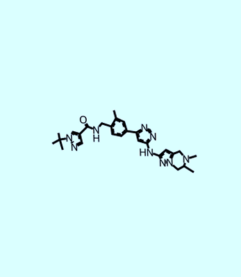 Cc1cc(-c2cc(Nc3cc4n(n3)CC(C)N(C)C4)ncn2)ccc1CNC(=O)c1cnn(C(C)(C)C)c1